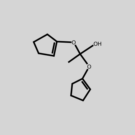 CC(O)(OC1=CCCC1)OC1=CCCC1